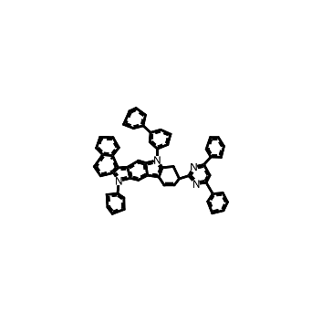 C1=CC(c2nc(-c3ccccc3)cc(-c3ccccc3)n2)Cc2c1c1cc3c(cc1n2-c1cccc(-c2ccccc2)c1)c1c2ccccc2ccc1n3-c1ccccc1